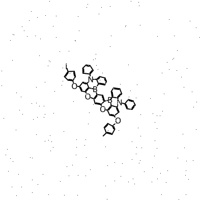 Cc1ccc(Oc2cc3c4c(c2)N(c2ccccc2)c2ccccc2B4c2cc4c(cc2O3)Oc2cc(Oc3ccc(I)cc3)cc3c2B4c2ccccc2N3c2ccccc2)cc1